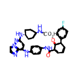 O=C(O)N[C@H]1CC[C@H](Nc2cc(Nc3ccc(NC(=O)C4=CC=CC(c5ccc(F)cc5)C4=O)cc3)c3nccn3n2)CC1